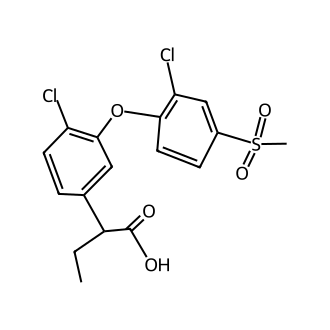 CCC(C(=O)O)c1ccc(Cl)c(Oc2ccc(S(C)(=O)=O)cc2Cl)c1